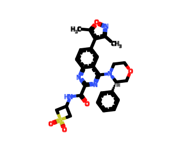 Cc1noc(C)c1-c1ccc2nc(C(=O)NC3CS(=O)(=O)C3)nc(N3CCOC[C@@H]3c3ccccc3)c2c1